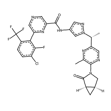 Cc1nc([C@@H](C)n2cc(NC(=O)c3cncc(-c4c(C(F)(F)F)ccc(Cl)c4F)n3)cn2)cnc1N1C[C@H]2C[C@H]2C1=O